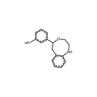 CCCc1cccc(C2Cc3ccccc3NCCO2)c1